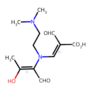 C/C(O)=C(/C=O)N(/C=C(\C=O)C(=O)O)CCN(C)C